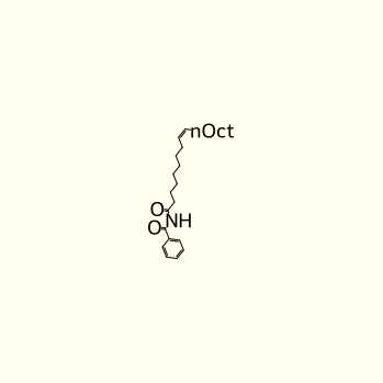 CCCCCCCC/C=C\CCCCCCCC(=O)NC(=O)c1ccccc1